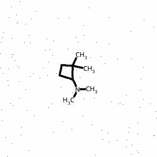 CN(C)C1CCC1(C)C